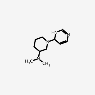 CN(C)C1CCCN(C2C=CN=[C]N2)C1